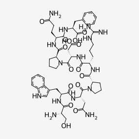 N=C(N)NCCC[C@H](NC(=O)[C@@H]1CCCN1C(=O)[C@H](CC(N)=O)NC(=O)[C@H](Cc1c[nH]c2ccccc12)NC(=O)[C@@H](N)CO)C(=O)N[C@@H](CC(=O)O)C(=O)N1CCC[C@H]1C(=O)N[C@@H](CCC(N)=O)C(=O)N[C@@H](Cc1ccccc1)C(=O)O